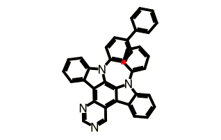 c1ccc(-c2ccc(-n3c4ccccc4c4c5ncncc5c5c6ccccc6n(-c6ccccc6)c5c43)cc2)cc1